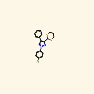 Clc1ccc(-n2cc(-c3ccccc3)c(C3SCCCS3)n2)cc1